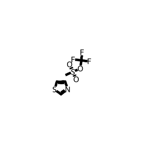 CS(=O)(=O)OC(F)(F)F.c1cscn1